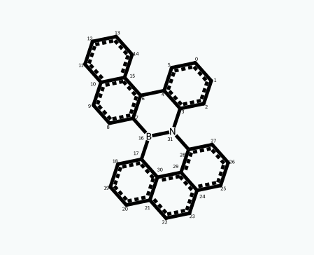 c1ccc2c(c1)-c1c(ccc3ccccc13)B1c3cccc4ccc5cccc(c5c34)N12